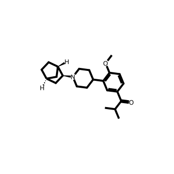 COc1ccc(C(=O)C(C)C)cc1C1CCN([C@H]2C[C@H]3CC[C@H]2C3)CC1